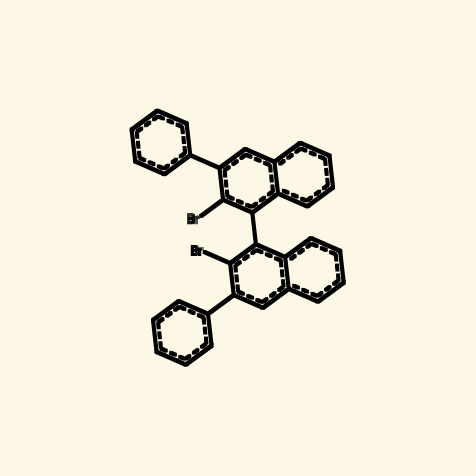 Brc1c(-c2ccccc2)cc2ccccc2c1-c1c(Br)c(-c2ccccc2)cc2ccccc12